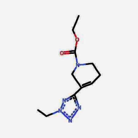 CCOC(=O)N1CCC=C(c2nnn(CC)n2)C1